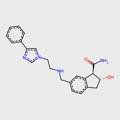 NC(=O)[C@@H]1c2cc(CNCCn3cnc(-c4ccccc4)c3)ccc2C[C@H]1O